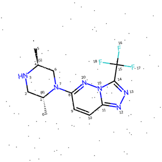 C[C@@H]1CN[C@@H](C)CN1c1ccc2nnc(C(F)(F)F)n2n1